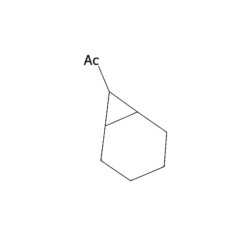 CC(=O)C1C2CCCCC21